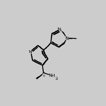 C[C@H](N)c1cncc(-c2cnn(C)c2)c1